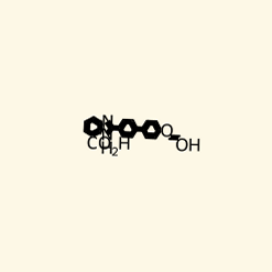 O=C(O)c1cccc2nc(-c3ccc(-c4ccc(OCCO)cc4)cc3)[nH]c12